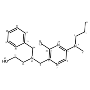 CCCN(C)c1cnc(CN(CCO)Cc2ccccc2)c(Cl)n1